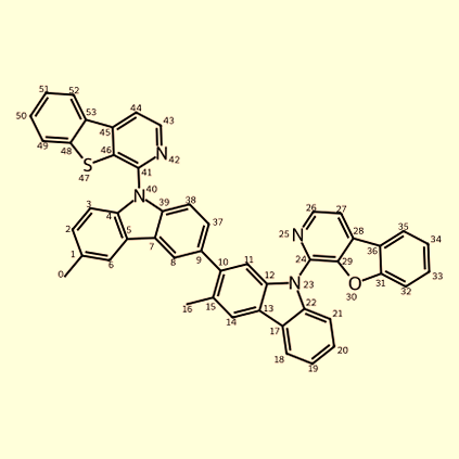 Cc1ccc2c(c1)c1cc(-c3cc4c(cc3C)c3ccccc3n4-c3nccc4c3oc3ccccc34)ccc1n2-c1nccc2c1sc1ccccc12